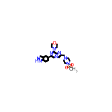 CS(=O)(=O)N1CCN(Cc2cn3cc(-c4ccc5[nH]ncc5c4)nc(N4CCOCC4)c3n2)CC1